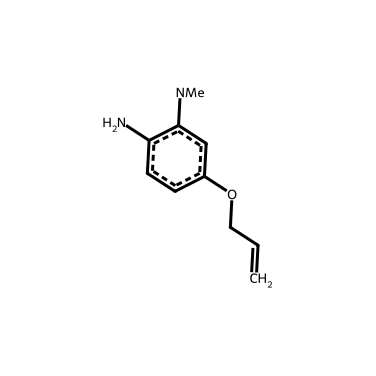 C=CCOc1ccc(N)c(NC)c1